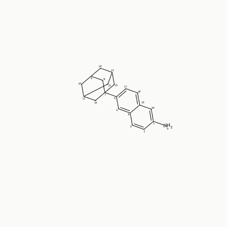 Nc1ccc2cc(C34CC5CC(CC(C5)C3)C4)ccc2c1